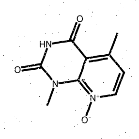 Cc1cc[n+]([O-])c2c1c(=O)[nH]c(=O)n2C